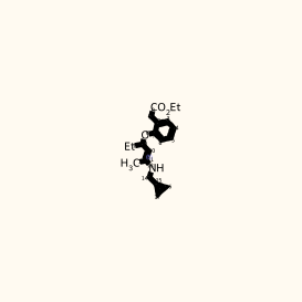 CCOC(=O)Cc1ccccc1OC(/C=C(\C)NCC1CC1)CC